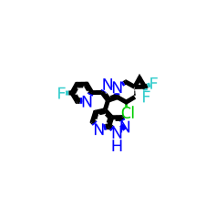 Fc1ccc(-c2nn3c(c2-c2ccnc4[nH]ncc24)[C@H](Cl)C[C@]2(C3)CC2(F)F)nc1